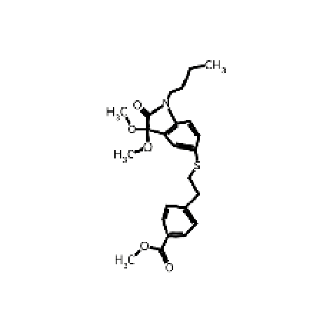 CCCCN1C(=O)C(OC)(OC)c2cc(SCCc3ccc(C(=O)OC)cc3)ccc21